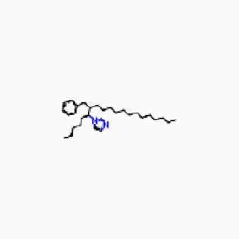 CCCCCCCCCCCCCC(Cc1ccccc1)C(CCCCC)n1ccnc1